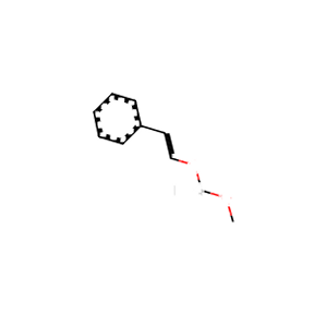 CO[SiH2]OC=Cc1ccccc1